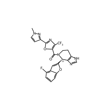 Cn1ccc(-c2nc(C(F)(F)F)c(C(=O)N3CCc4[nH]cnc4[C@H]3c3cc4c(F)cccc4o3)o2)n1